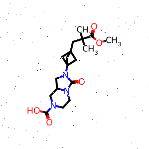 COC(=O)C(C)(C)CC12CC(N3CC4CN(C(=O)O)CCN4C3=O)(C1)C2